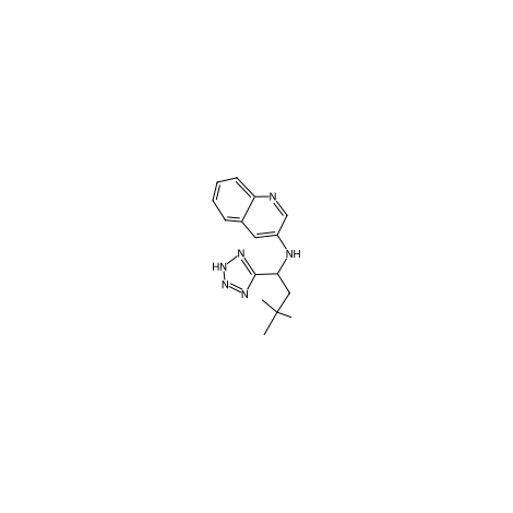 CC(C)(C)CC(Nc1cnc2ccccc2c1)c1nn[nH]n1